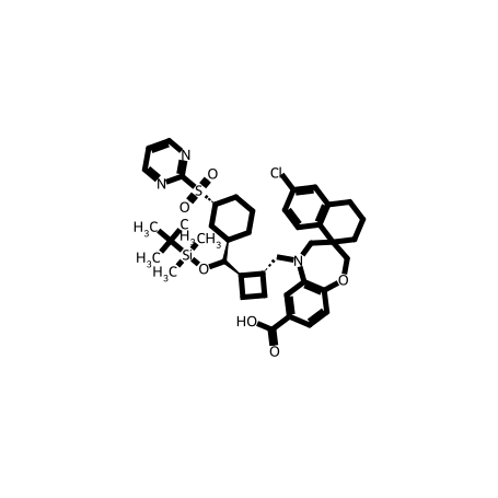 CC(C)(C)[Si](C)(C)OC([C@@H]1CCC[C@@H](S(=O)(=O)c2ncccn2)C1)[C@@H]1CC[C@H]1CN1CC2(CCCc3cc(Cl)ccc32)COc2ccc(C(=O)O)cc21